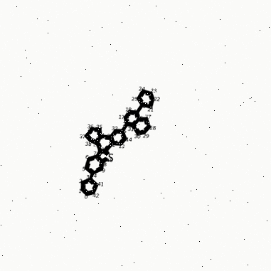 c1ccc(-c2ccc3c(c2)sc2c4ccc(-c5ccc(-c6ccccc6)c6ccccc56)cc4c4ccccc4c32)cc1